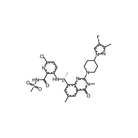 Cc1cc([C@@H](C)Nc2ccc(Cl)nc2C(=O)NS(C)(=O)=O)c2nc(N3CCC(n4cc(F)c(C)n4)CC3)n(C)c(=O)c2c1